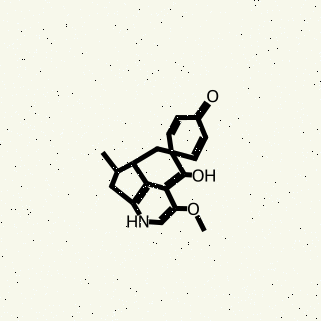 COC1=CNC2=C3C1=C(O)C1(C=CC(=O)C=C1)CC3C(C)C2